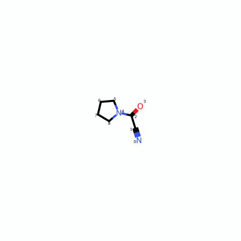 N#CC(=O)N1CCCC1